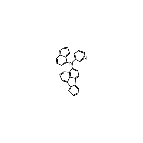 c1cncc(N(c2cccc3ccccc23)c2ccc3c4c(cccc24)-c2ccccc2-3)c1